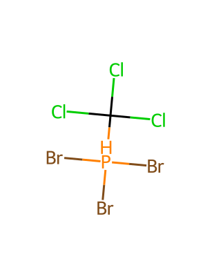 ClC(Cl)(Cl)[PH](Br)(Br)Br